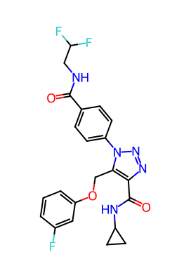 O=C(NCC(F)F)c1ccc(-n2nnc(C(=O)NC3CC3)c2COc2cccc(F)c2)cc1